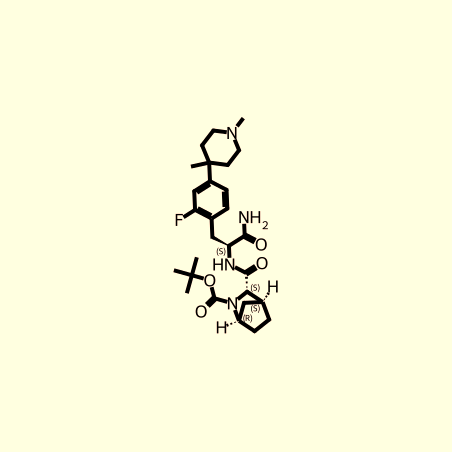 CN1CCC(C)(c2ccc(C[C@H](NC(=O)[C@@H]3[C@H]4CC[C@H](C4)N3C(=O)OC(C)(C)C)C(N)=O)c(F)c2)CC1